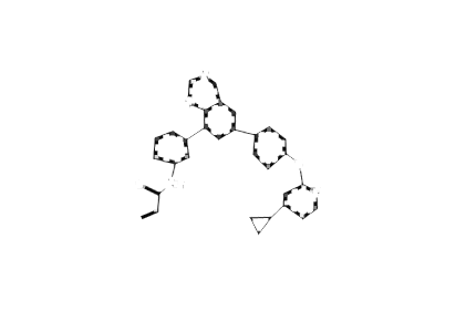 C=CC(=O)Nc1cccc(-c2cc(-c3ccc(Oc4cc(C5CC5)ccn4)cc3)cc3cncnc23)c1